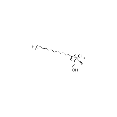 CCCCCCCCCCCCC(=S)SC(C)(C#N)CCCO